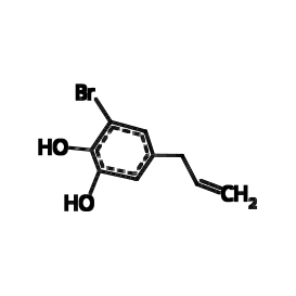 C=CCc1cc(O)c(O)c(Br)c1